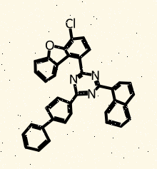 Clc1ccc(-c2nc(-c3ccc(-c4ccccc4)cc3)nc(-c3cccc4ccccc34)n2)c2c1oc1ccccc12